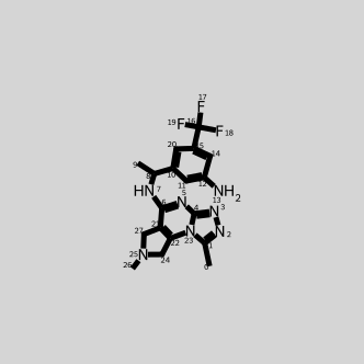 Cc1nnc2nc(NC(C)c3cc(N)cc(C(F)(F)F)c3)c3c(n12)CN(C)C3